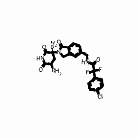 BC1C[C@](B)(N2Cc3cc(CNC(=O)C(F)(F)c4ccc(Cl)cc4)ccc3C2=O)C(=O)NC1=O